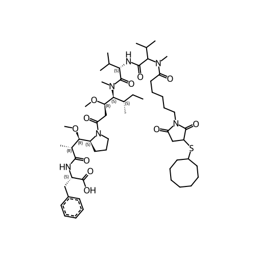 CC[C@H](C)[C@@H]([C@@H](CC(=O)N1CCC[C@H]1[C@H](OC)[C@@H](C)C(=O)N[C@@H](Cc1ccccc1)C(=O)O)OC)N(C)C(=O)[C@@H](NC(=O)C(C(C)C)N(C)C(=O)CCCCCN1C(=O)CC(SC2CCCCCCC2)C1=O)C(C)C